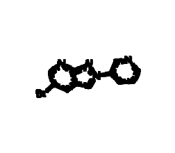 Brc1cnc2nn(-c3cccnc3)cc2c1